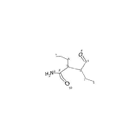 CCC([C]=O)C(CC)C(N)=O